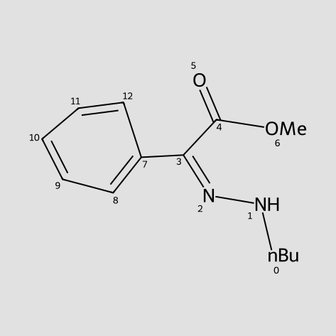 CCCCN/N=C(\C(=O)OC)c1ccccc1